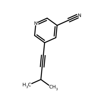 CC(C)C#Cc1cncc(C#N)c1